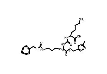 Cc1cc(CNC(=O)[C@@H](CCCCNC(=O)OCc2ccccc2)NC(=O)NC(CCCCN)C(=O)O)on1